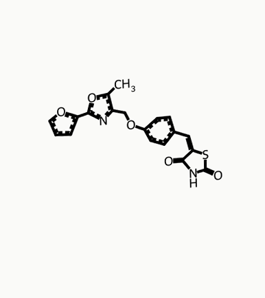 Cc1oc(-c2ccco2)nc1COc1ccc(/C=C2/SC(=O)NC2=O)cc1